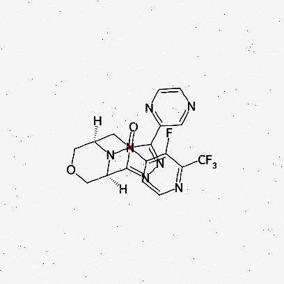 O=C(c1ccnc(C(F)(F)F)c1F)N1[C@H]2COC[C@@H]1c1nnc(-c3cnccn3)n1C2